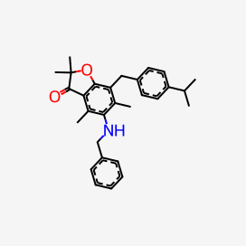 Cc1c(Cc2ccc(C(C)C)cc2)c2c(c(C)c1NCc1ccccc1)C(=O)C(C)(C)O2